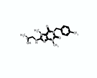 C[C@H](O)CNc1nc2c(c(=O)n(Cc3ccc(C(F)(F)F)cc3)c(=O)n2C)n1C